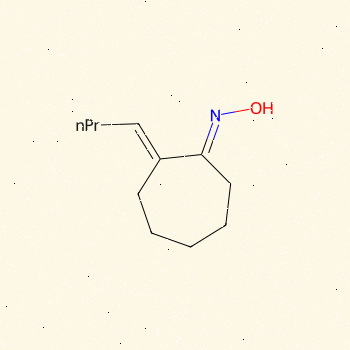 CCC/C=C1\CCCCC\C1=N/O